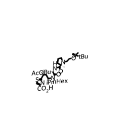 CCCCCCN(C(=O)[C@@H](NC(=O)[C@@]1(C)CCCN1CCO[Si](C)(C)C(C)(C)C)[C@@H](C)CC)[C@H](C[C@@H](OC(C)=O)c1nc(C(=O)O)cs1)C(C)C